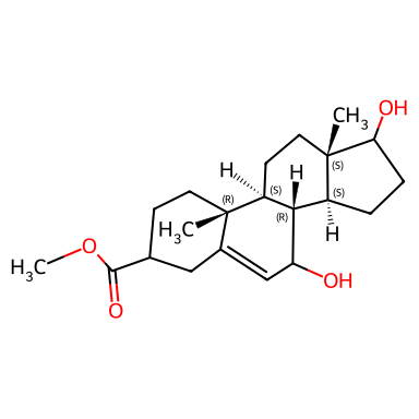 COC(=O)C1CC[C@@]2(C)C(=CC(O)[C@@H]3[C@@H]2CC[C@]2(C)C(O)CC[C@@H]32)C1